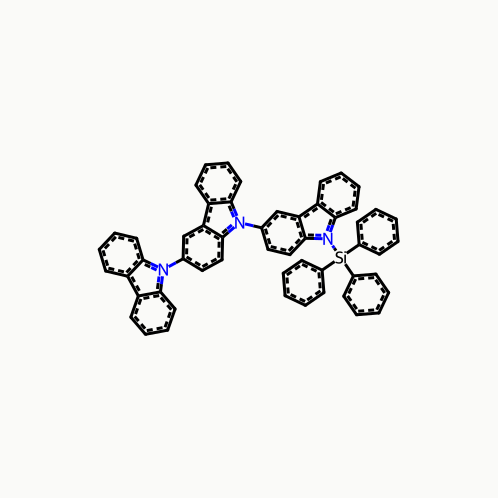 c1ccc([Si](c2ccccc2)(c2ccccc2)n2c3ccccc3c3cc(-n4c5ccccc5c5cc(-n6c7ccccc7c7ccccc76)ccc54)ccc32)cc1